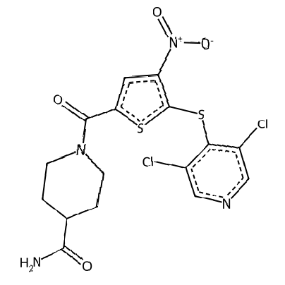 NC(=O)C1CCN(C(=O)c2cc([N+](=O)[O-])c(Sc3c(Cl)cncc3Cl)s2)CC1